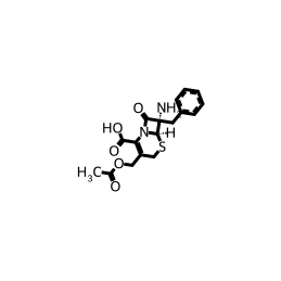 CC(=O)OCC1=C(C(=O)O)N2C(=O)[C@@](N)(Cc3ccccc3)[C@H]2SC1